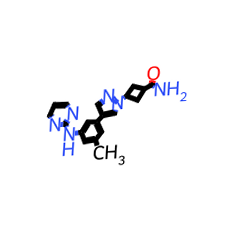 Cc1cc(Nc2ncccn2)cc(-c2cnn(C3CC(C(N)=O)C3)c2)c1